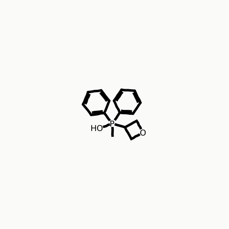 CP(O)(c1ccccc1)(c1ccccc1)C1COC1